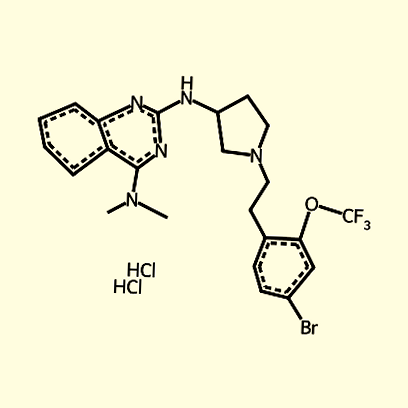 CN(C)c1nc(NC2CCN(CCc3ccc(Br)cc3OC(F)(F)F)C2)nc2ccccc12.Cl.Cl